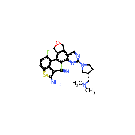 CN(C)C[C@H]1CCN(c2ncc3c4c(c(-c5c(F)ccc6sc(N)c(C#N)c56)c(F)c3n2)COC4)C1